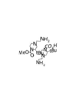 CC(C)(C)C1CN(CCN)CCN1C(=O)O.COC(=O)N1CCN(CCN)CC1C(C)(C)C